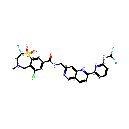 CN1Cc2c(Cl)cc(C(=O)NCc3cc4nc(-c5cccc(OC(F)F)n5)ccc4cn3)cc2S(=O)(=O)[C@H](F)C1